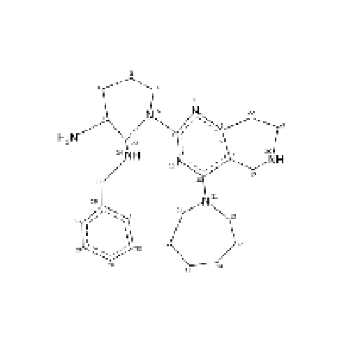 NC1CCCN(c2nc3c(c(N4CCCCCC4)n2)CNCC3)C1NCc1ccccc1